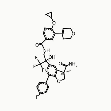 C[C@]1(C(N)=O)COc2c1cc([C@@](O)(CNC(=O)c1ccc(OC3CC3)c(C3=CCOCC3)c1)C(F)(F)F)nc2-c1ccc(F)cc1